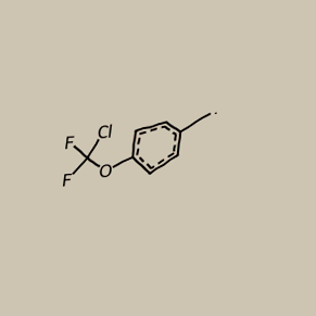 [CH2]c1ccc(OC(F)(F)Cl)cc1